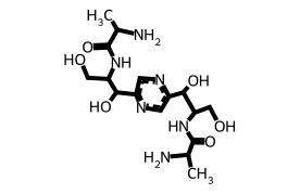 CC(N)C(=O)NC(CO)C(O)c1cnc(C(O)C(CO)NC(=O)C(C)N)cn1